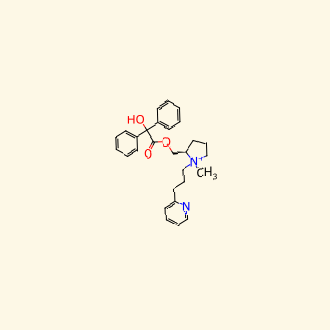 C[N+]1(CCCc2ccccn2)CCC[C@@H]1COC(=O)C(O)(c1ccccc1)c1ccccc1